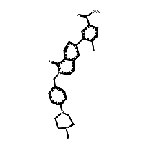 COC(=O)c1ccc(C)c(-c2ccc3c(=O)n(Cc4ccc(N5CCN(C)CC5)cc4)ccc3c2)c1